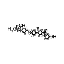 CCC(F)(CC)CN1CCC(COc2ccc(-c3ccc(C(=O)N4CCC[C@@H](O)C4)cc3F)cc2)CC1